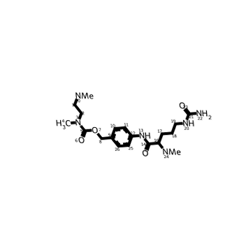 CNCCN(C)C(=O)OCc1ccc(NC(=O)C(CCCNC(N)=O)NC)cc1